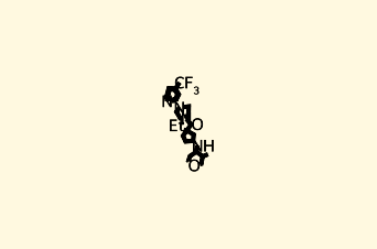 CC[C@]1(C(=O)N2CCN(c3cc(C(F)(F)F)ccn3)CC2)CC[C@@H](NC2CCOCC2C)C1